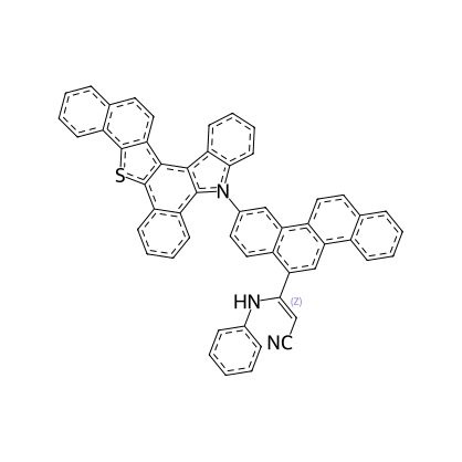 N#C/C=C(\Nc1ccccc1)c1cc2c3ccccc3ccc2c2cc(-n3c4ccccc4c4c5c6ccc7ccccc7c6sc5c5ccccc5c43)ccc12